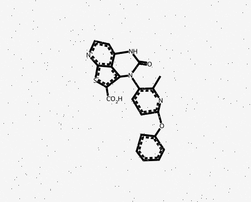 Cc1nc(Oc2ccccc2)ccc1N1C(=O)Nc2ccnc3sc(C(=O)O)c1c23